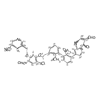 Cc1c(COc2cc(OCc3cncc(C#N)c3)c(C=O)cc2Cl)cccc1-c1cccc(-c2ccn3c(=O)c(C=O)cnc3c2)c1C